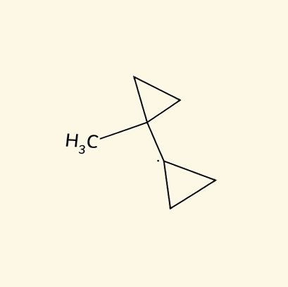 CC1([C]2CC2)CC1